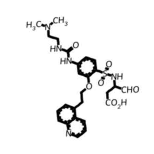 CN(C)CCNC(=O)Nc1ccc(S(=O)(=O)NC(C=O)CC(=O)O)c(OCCc2cccc3ncccc23)c1